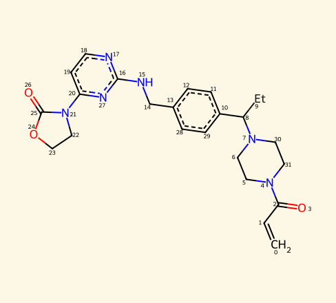 C=CC(=O)N1CCN(C(CC)c2ccc(CNc3nccc(N4CCOC4=O)n3)cc2)CC1